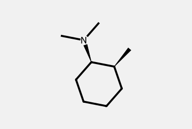 C[C@H]1CCCC[C@H]1N(C)C